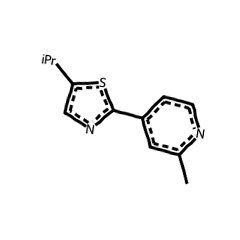 Cc1cc(-c2ncc(C(C)C)s2)ccn1